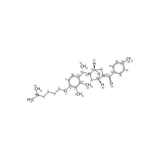 Cc1c(OCCCCN(C)C)ccc([C@H](C)N2C[C@@H]3C[C@H]2CN3C(=O)c2ccc(C(F)(F)F)cc2)c1C